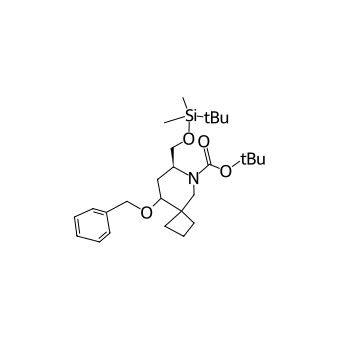 CC(C)(C)OC(=O)N1CC2(CCC2)C(OCc2ccccc2)C[C@H]1CO[Si](C)(C)C(C)(C)C